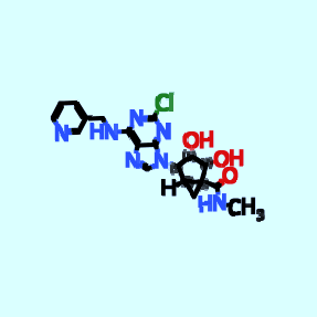 CNC(=O)[C@@]12C[C@@H]1[C@H](n1cnc3c(NCc4cccnc4)nc(Cl)nc31)[C@H](O)[C@@H]2O